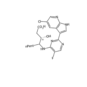 CCCCCC(Nc1nc(-c2c[nH]c3ncc(Cl)cc23)ncc1F)[C@@H](O)CC(=O)O